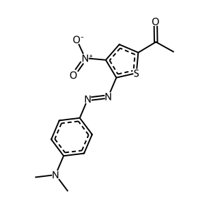 CC(=O)c1cc([N+](=O)[O-])c(N=Nc2ccc(N(C)C)cc2)s1